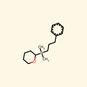 C[Si](C)(CCCc1ccccc1)C1CCCCO1